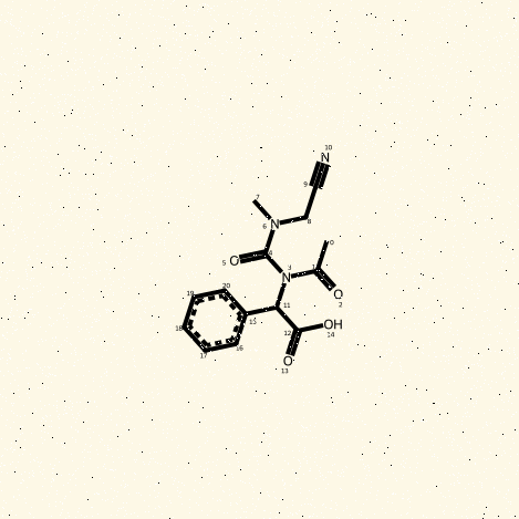 CC(=O)N(C(=O)N(C)CC#N)C(C(=O)O)c1ccccc1